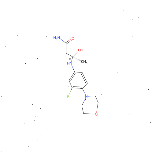 C[C@@](O)(CC(N)=O)Nc1ccc(N2CCOCC2)c(F)c1